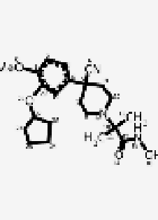 COc1ccc(C2(C#N)CCN(C(C)(C)C(=O)NO)CC2)cc1OC1CCCC1